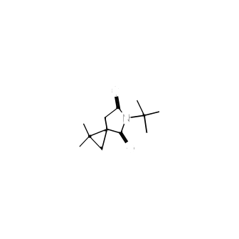 CC(C)(C)N1C(=O)CC2(CC2(C)C)C1=O